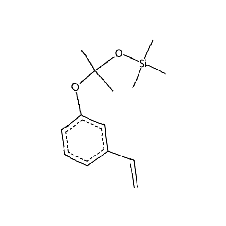 C=Cc1cccc(OC(C)(C)O[Si](C)(C)C)c1